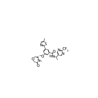 Cc1cnc(-c2cc(OC[C@H]3COCC(=O)N3C)cc(C(=O)NC(C)c3cnc(C(F)(F)F)nc3)c2)s1